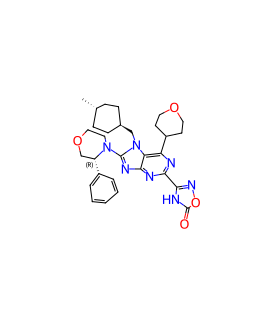 C[C@H]1CC[C@H](Cn2c(N3CCOC[C@H]3c3ccccc3)nc3nc(-c4noc(=O)[nH]4)nc(C4CCOCC4)c32)CC1